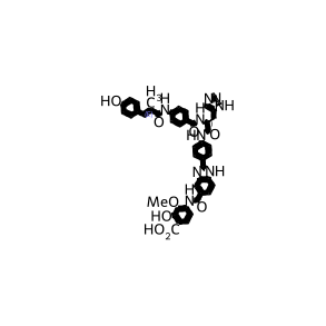 COc1c(NC(=O)c2ccc3[nH]c(-c4ccc(NC(=O)[C@H](Cc5cnn[nH]5)NC(=O)c5ccc(NC(=O)/C(C)=C/c6ccc(O)cc6)cc5)cc4)nc3c2)ccc(C(=O)O)c1O